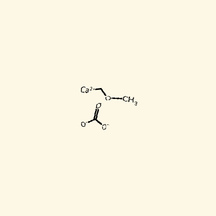 CO[CH2][Ca+2].O=C([O-])[O-]